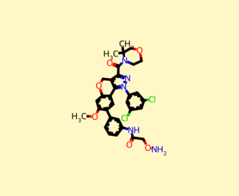 COc1cc2c(cc1-c1cccc(NC(=O)CON)c1)-c1c(c(C(=O)N3CCOCC3(C)C)nn1-c1cc(Cl)cc(Cl)c1)CO2